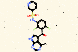 Cc1ncnc2[nH]cc(C(=O)c3c(F)ccc(NS(=O)(=O)c4cccnc4)c3F)c12